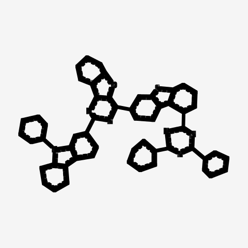 c1ccc(-c2nc(-c3ccccc3)nc(-c3cccc4sc5cc(-c6nc(-c7ccc8c9ccccc9n(-c9ccccc9)c8c7)nc7c6oc6ccccc67)ccc5c34)n2)cc1